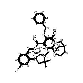 CN1C(C)(C)CN(c2cc(F)ccc2CNC(=O)c2nc3n(c(=O)c2OCc2ccccc2)CC2CCN3CC2)S1(O)O